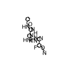 CN(C)CCOc1cc(F)cc(-c2cncc3[nH]c(-c4n[nH]c5ccc(-c6cncc(NC(=O)Cc7ccccc7)c6)nc45)nc23)c1